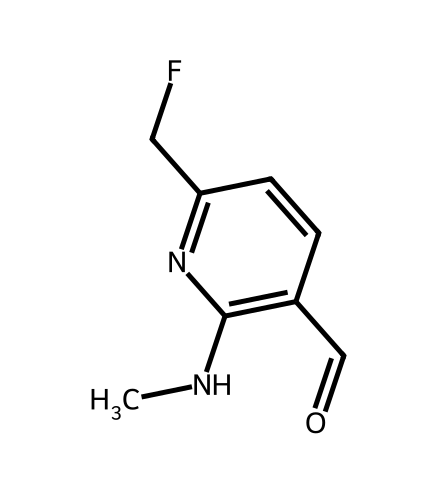 CNc1nc(CF)ccc1C=O